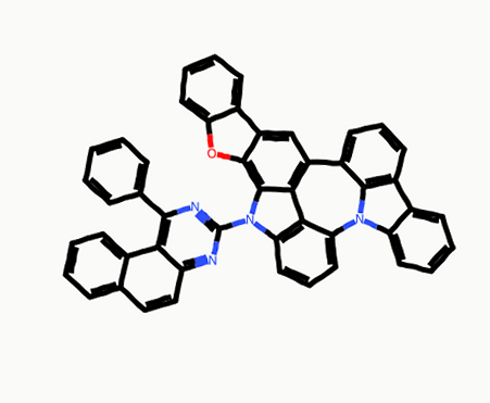 c1ccc(-c2nc(-n3c4cccc5c4c4c(cc6c7ccccc7oc6c43)c3cccc4c6ccccc6n5c34)nc3ccc4ccccc4c23)cc1